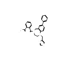 CC(C)(C)NC(=O)c1ccccc1C(=O)N1CCN(Cc2c[nH]cn2)c2ccc(-c3ccccc3)cc2C1